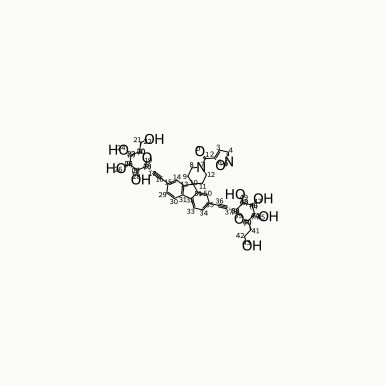 O=C(c1ccno1)N1CCC2(CC1)c1cc(C#C[C@H]3O[C@H](CO)[C@@H](O)[C@H](O)[C@@H]3O)ccc1-c1ccc(C#C[C@H]3O[C@H](CCO)[C@@H](O)[C@H](O)[C@@H]3O)cc12